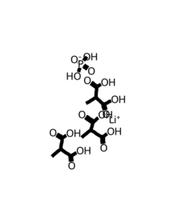 CC(C(=O)O)C(=O)O.CC(C(=O)O)C(=O)O.CC(C(=O)O)C(=O)O.O=P([O-])(O)O.[Li+]